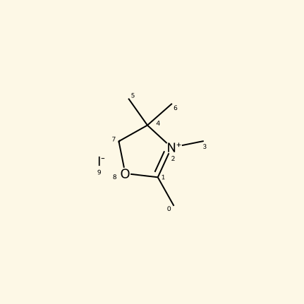 CC1=[N+](C)C(C)(C)CO1.[I-]